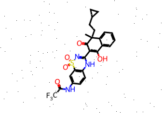 CC1(CCC2CC2)C(=O)C(C2=NS(=O)(=O)c3cc(NC(=O)C(F)(F)F)ccc3N2)=C(O)c2ccccc21